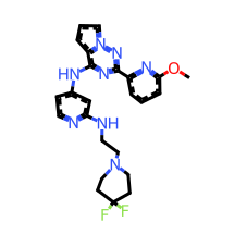 COc1cccc(-c2nc(Nc3ccnc(NCCN4CCC(F)(F)CC4)c3)c3cccn3n2)n1